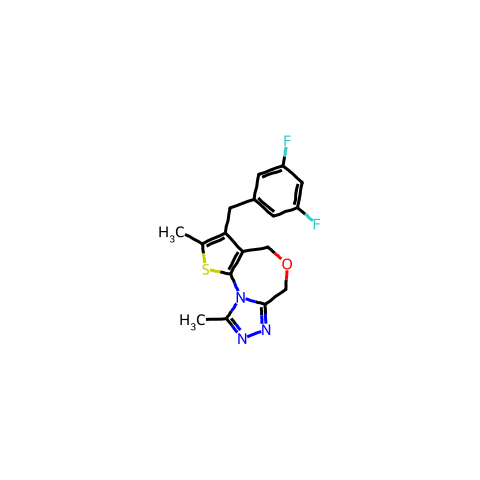 Cc1sc2c(c1Cc1cc(F)cc(F)c1)COCc1nnc(C)n1-2